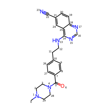 CN1CCN(C(=O)c2ccc(CCNc3ncnc4ccc(C#N)cc34)cc2)CC1